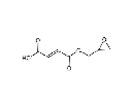 O=C(O)C=CC(=O)OCC1CO1